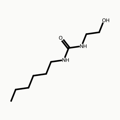 CCCCCCNC(=O)NCCO